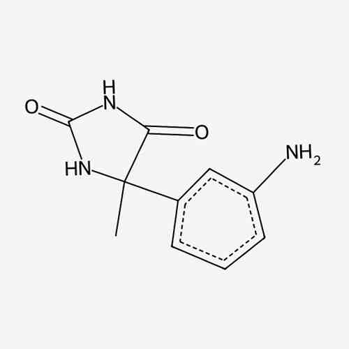 CC1(c2cccc(N)c2)NC(=O)NC1=O